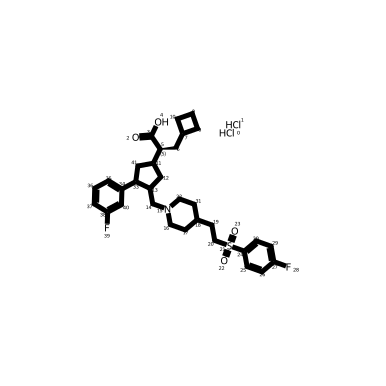 Cl.Cl.O=C(O)[C@@H](CC1CCC1)C1CC(CN2CCC(CCS(=O)(=O)c3ccc(F)cc3)CC2)C(c2cccc(F)c2)C1